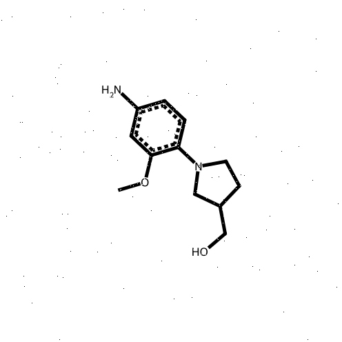 COc1cc(N)ccc1N1CCC(CO)C1